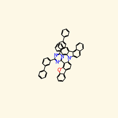 c1ccc(-c2ccc(-c3nc(-c4cccc(-c5ccccc5)c4)nc(-c4c(-n5c6cc7ccccc7cc6c6c7ccccc7ccc65)ccc5c4oc4ccccc45)n3)cc2)cc1